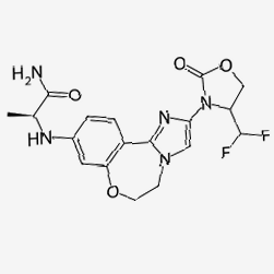 C[C@H](Nc1ccc2c(c1)OCCn1cc(N3C(=O)OCC3C(F)F)nc1-2)C(N)=O